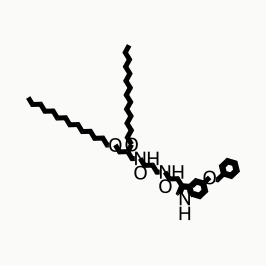 CCCCCCCCCCCCCCOCC(CNC(=O)CCNC(=O)Cc1c[nH]c2ccc(OCc3ccccc3)cc12)OCCCCCCCCCCCCCC